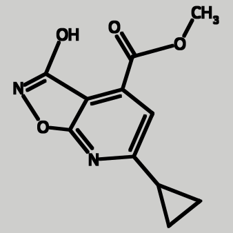 COC(=O)c1cc(C2CC2)nc2onc(O)c12